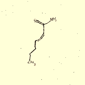 CCCC=CC(N)=S